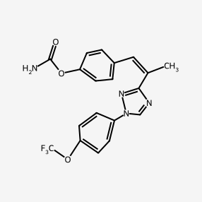 CC(=Cc1ccc(OC(N)=O)cc1)c1ncn(-c2ccc(OC(F)(F)F)cc2)n1